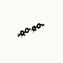 CCCc1ccc(-c2ccc(OCC3CCC(c4ccc(C5CO5)c(F)c4F)CC3)c(F)c2F)cc1